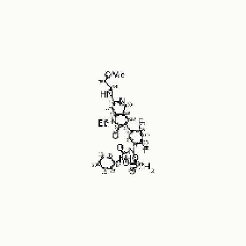 CCn1c(=O)c(-c2cc(N(OS(C)(=O)=O)C(=O)Nc3ccccc3)c(F)cc2F)cc2cnc(NCCOC)cc21